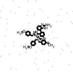 COc1ccc(CN(Cc2ccc(OC)cc2)S(=O)(=O)c2c(Br)ccc(-c3cccc4nc(N)[nH]c34)c2-c2nnn(Cc3ccc(OC)cc3)n2)cc1